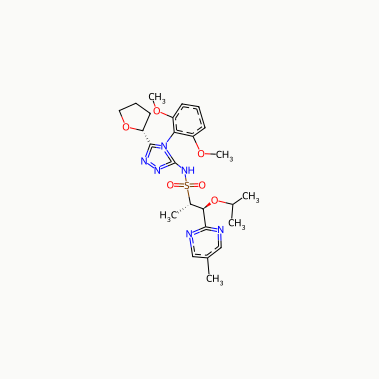 COc1cccc(OC)c1-n1c(NS(=O)(=O)[C@@H](C)[C@@H](OC(C)C)c2ncc(C)cn2)nnc1[C@H]1CCCO1